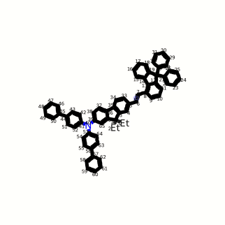 CCC1(CC)c2cc(/C=C/c3cccc4c3-c3ccccc3C4(c3ccccc3)c3ccccc3)ccc2-c2ccc(N(c3ccc(-c4ccccc4)cc3)c3ccc(-c4ccccc4)cc3)cc21